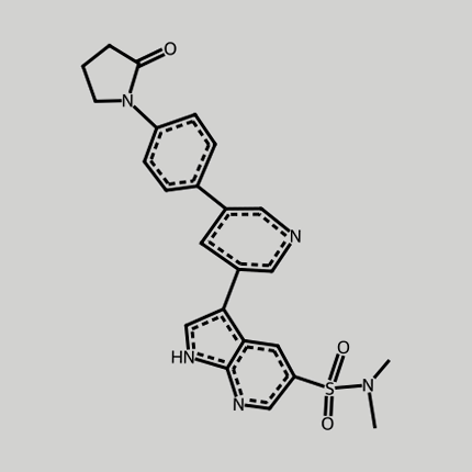 CN(C)S(=O)(=O)c1cnc2[nH]cc(-c3cncc(-c4ccc(N5CCCC5=O)cc4)c3)c2c1